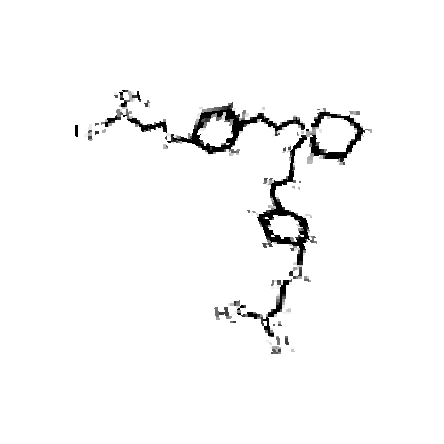 CN(C)CCOc1ccc(CCC[N+]2(CCCc3ccc(OCCN(C)C)cc3)CCCCC2)cc1